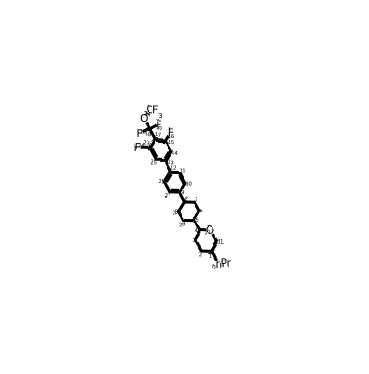 CCCC1CCC(C2CCC(c3ccc(-c4cc(F)c(C(F)(F)OC(F)(F)F)c(F)c4)cc3)CC2)OC1